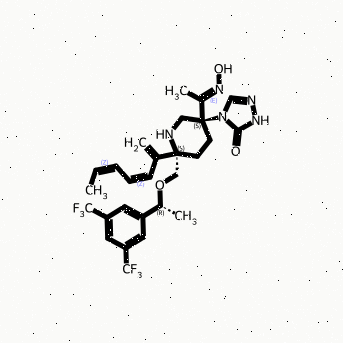 C=C(/C=C\C=C/C)[C@]1(CO[C@H](C)c2cc(C(F)(F)F)cc(C(F)(F)F)c2)CC[C@](/C(C)=N/O)(n2cn[nH]c2=O)CN1